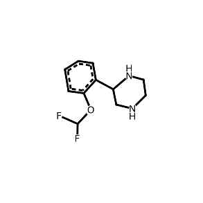 FC(F)Oc1ccccc1C1CNCCN1